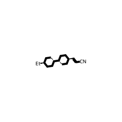 CC[C@H]1CC[C@H]([C@H]2CC[C@H](C=CC#N)CC2)CC1